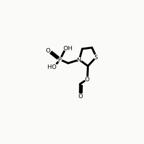 O=COC1SCCN1CP(=O)(O)O